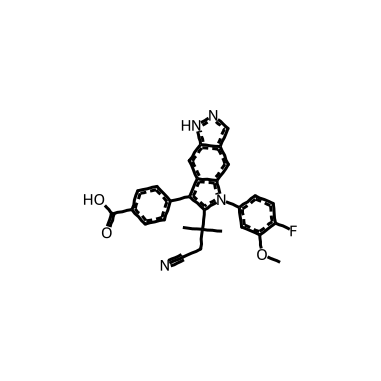 COc1cc(-n2c(C(C)(C)CC#N)c(-c3ccc(C(=O)O)cc3)c3cc4[nH]ncc4cc32)ccc1F